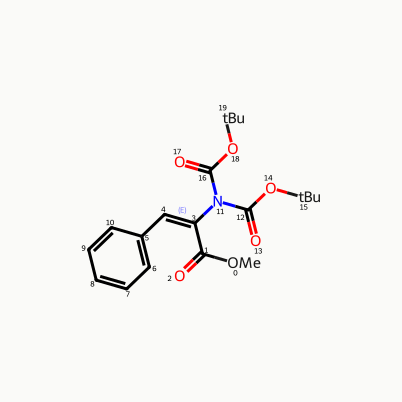 COC(=O)/C(=C\c1ccccc1)N(C(=O)OC(C)(C)C)C(=O)OC(C)(C)C